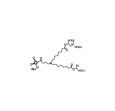 CCCCCCCCC(CC)OC(=O)CCCCCCCN(CCCCCCCC(=O)OC(CCCCCCCC)C[C@H](C)CCCCCC)CCCNc1c(OC(C)(C)C)c(=O)c1=O